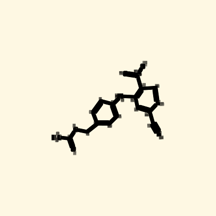 CC(=O)OCc1ccc(Nc2cc(C#N)ncc2[N+](=O)[O-])cc1